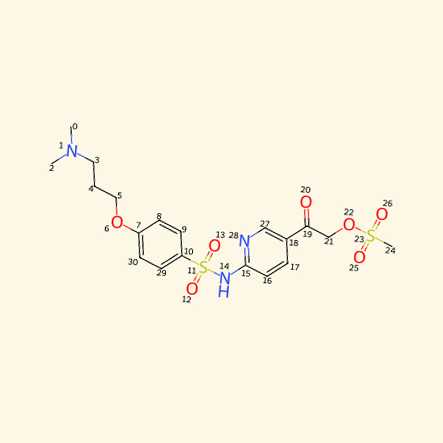 CN(C)CCCOc1ccc(S(=O)(=O)Nc2ccc(C(=O)COS(C)(=O)=O)cn2)cc1